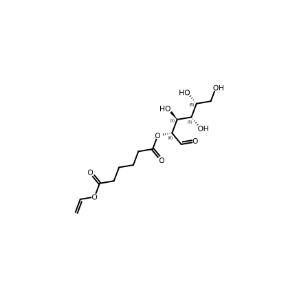 C=COC(=O)CCCCC(=O)O[C@@H](C=O)[C@@H](O)[C@@H](O)[C@H](O)CO